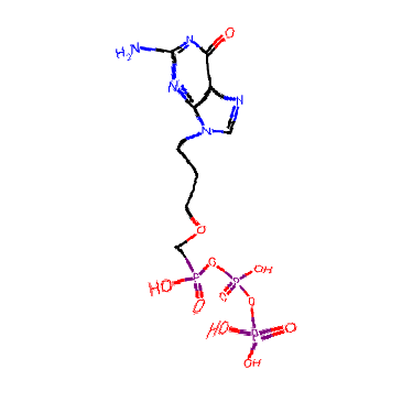 NC1=NC(=O)C2N=CN(CCCOCP(=O)(O)OP(=O)(O)OP(=O)(O)O)C2=N1